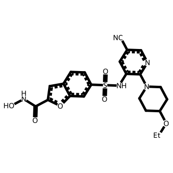 CCOC1CCN(c2ncc(C#N)cc2NS(=O)(=O)c2ccc3cc(C(=O)NO)oc3c2)CC1